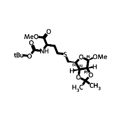 COC(=O)C(CCSC[C@H]1O[C@@H](OC)[C@@H]2OC(C)(C)O[C@@H]21)NC(=O)OC(C)(C)C